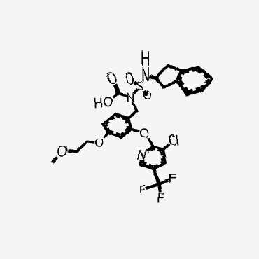 COCCOc1ccc(CN(C(=O)O)S(=O)(=O)NC2Cc3ccccc3C2)c(Oc2ncc(C(F)(F)F)cc2Cl)c1